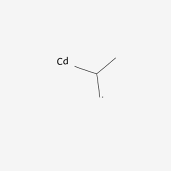 [CH2]C(C)C.[Cd]